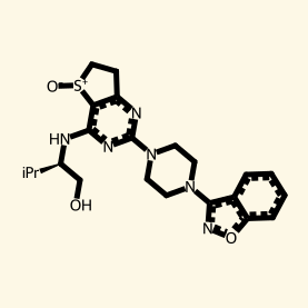 CC(C)[C@H](CO)Nc1nc(N2CCN(c3noc4ccccc34)CC2)nc2c1[S+]([O-])CC2